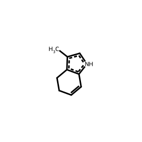 Cc1c[nH]c2c1CCC=C2